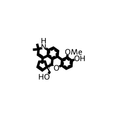 COc1c(O)ccc2c1-c1ccc3c(c1[C@@H]([C@]1(CO)C=CCC1)O2)C(C)=CC(C)(C)N3